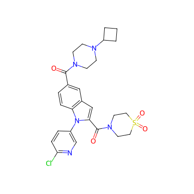 O=C(c1ccc2c(c1)cc(C(=O)N1CCS(=O)(=O)CC1)n2-c1ccc(Cl)nc1)N1CCN(C2CCC2)CC1